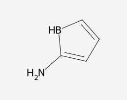 NC1=CC=CB1